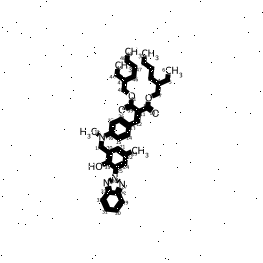 CCCCC(CC)COC(=O)C(=Cc1ccc(N(C)Cc2cc(C)cc(-n3nc4ccccc4n3)c2O)cc1)C(=O)OCC(CC)CCCC